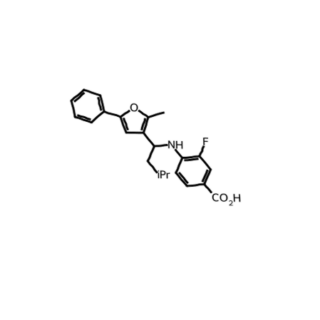 Cc1oc(-c2ccccc2)cc1C(CC(C)C)Nc1ccc(C(=O)O)cc1F